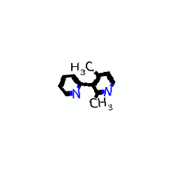 Cc1ccnc(C)c1-c1ccccn1